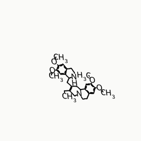 CCC1=C(CC2NCCc3cc(OC)c(OC)cc32)CC2c3cc(OC)c(OC)cc3CCN2C1